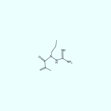 C=C(C)C(=O)N(CCC)NC(=N)N